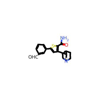 NC(=O)c1sc(-c2cccc(C=O)c2)cc1C1CN2CCC1CC2